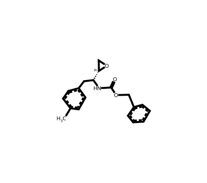 Cc1ccc(CC(NC(=O)OCc2ccccc2)[C@@H]2CO2)cc1